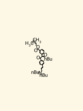 CCCCc1oc2ccc(C(=O)OCCN(C)C)cc2c1C(=O)c1ccc(/C=C/CN(CCCC)CCCC)cc1